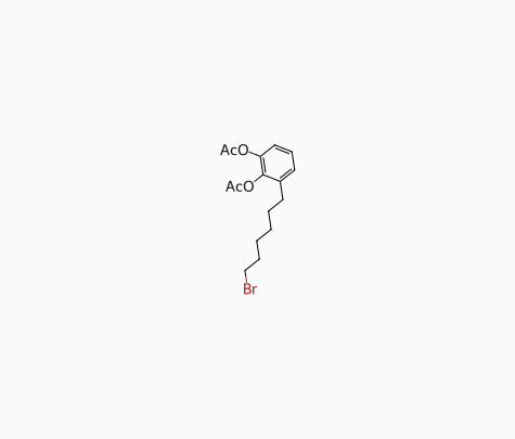 CC(=O)Oc1cccc(CCCCCCBr)c1OC(C)=O